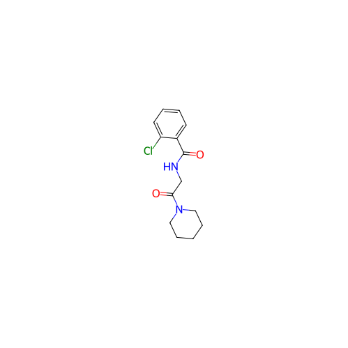 O=C(NCC(=O)N1CCCCC1)c1ccccc1Cl